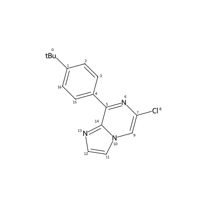 CC(C)(C)c1ccc(-c2nc(Cl)cn3ccnc23)cc1